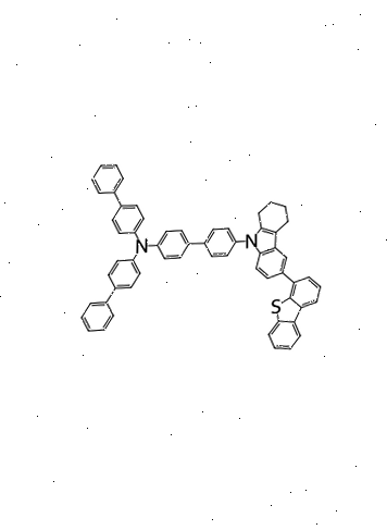 c1ccc(-c2ccc(N(c3ccc(-c4ccccc4)cc3)c3ccc(-c4ccc(-n5c6c(c7cc(-c8cccc9c8sc8ccccc89)ccc75)CCCC6)cc4)cc3)cc2)cc1